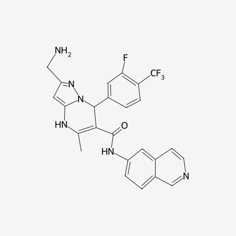 CC1=C(C(=O)Nc2ccc3cnccc3c2)C(c2ccc(C(F)(F)F)c(F)c2)n2nc(CN)cc2N1